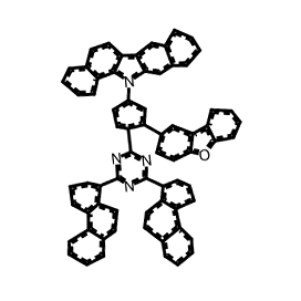 c1ccc2cc3c(cc2c1)c1ccc2ccccc2c1n3-c1ccc(-c2nc(-c3cccc4c3ccc3ccccc34)nc(-c3cccc4c3ccc3ccccc34)n2)c(-c2ccc3oc4ccccc4c3c2)c1